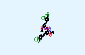 O=C(OC(=O)c1cc(C=Cc2ccc(C(F)(F)F)c(Cl)c2)ccc1NC(=O)C1CC1)c1cc(C=Cc2ccc(Cl)c(F)c2)ccc1NC(=O)C1CC1